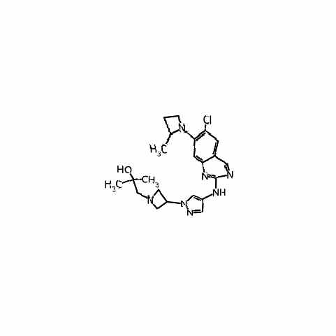 CC1CCN1c1cc2nc(Nc3cnn(C4CN(CC(C)(C)O)C4)c3)ncc2cc1Cl